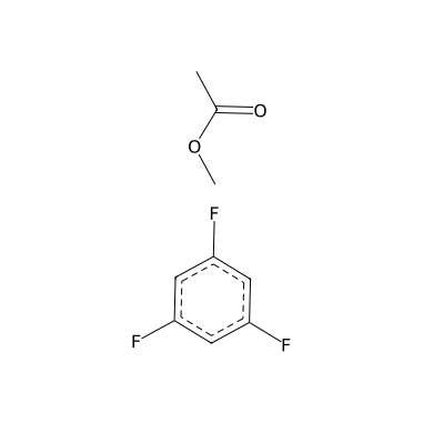 COC(C)=O.Fc1cc(F)cc(F)c1